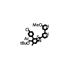 COc1cncc(-c2cc(-c3nc4cc(C)c([C@H](OC(C)(C)C)C(C)=O)c(-c5ccc(Cl)cc5)c4s3)ccn2)c1